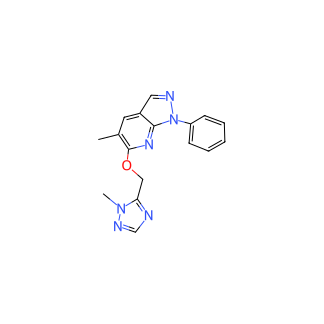 Cc1cc2cnn(-c3ccccc3)c2nc1OCc1ncnn1C